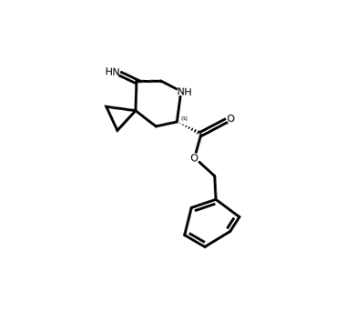 N=C1CN[C@H](C(=O)OCc2ccccc2)CC12CC2